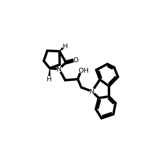 O=C1[C@H]2CC[C@H](C2)N1CC(O)Cn1c2ccccc2c2ccccc21